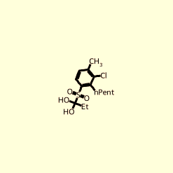 CCCCCc1c(S(=O)(=O)C(O)(O)CC)ccc(C)c1Cl